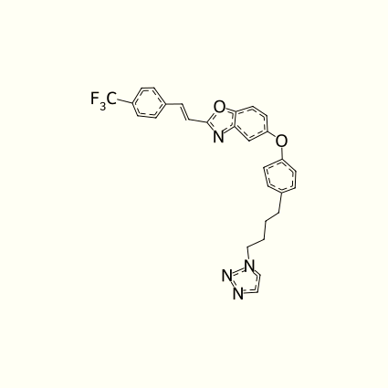 FC(F)(F)c1ccc(C=Cc2nc3cc(Oc4ccc(CCCCn5ccnn5)cc4)ccc3o2)cc1